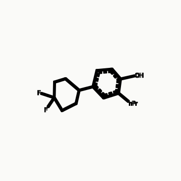 CCCc1cc(C2CCC(F)(F)CC2)ccc1O